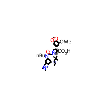 C/C=C/C(C)(C)C[C@H]1[C@H](C(=O)O)[C@@H](c2cc(OC)c3c(c2)OCO3)CN1CC(=O)N(CCCC)c1cccc(C[N+](C)(C)C)c1